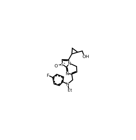 CCN(CC1=CCN2C(C3CC3CO)=C[S+]([O-])C2=N1)c1ccc(F)cc1